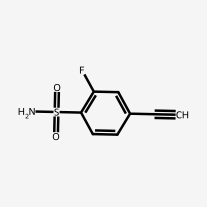 C#Cc1ccc(S(N)(=O)=O)c(F)c1